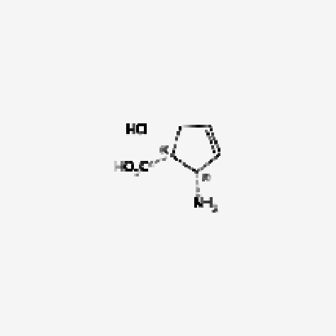 Cl.N[C@H]1C=CC[C@H]1C(=O)O